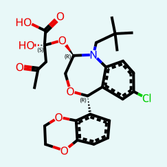 CC(=O)C[C@](O)(O[C@@H]1CO[C@@H](c2cccc3c2OCCO3)c2cc(Cl)ccc2N1CC(C)(C)C)C(=O)O